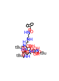 C=C(NCC[C@H](O)C(=C)N[C@@H]1C[C@H](NC(=O)OC(C)(C)C)[C@](O)([C@@H](C)[C@@H](C/C=C(\C)CNCCCCNC(=O)OCC2c3ccccc3-c3ccccc32)NC(=O)CC(C)(C)C)[C@H](O)[C@H]1O[C@H]1OC[C@](C)(O)[C@H](N(C)C(=O)OC(C)(C)C)[C@H]1O)OC(C)(C)C